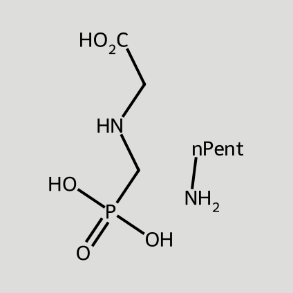 CCCCCN.O=C(O)CNCP(=O)(O)O